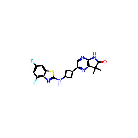 CC1(C)C(=O)Nc2ncc(C3CC(Nc4nc5c(F)cc(F)cc5s4)C3)nc21